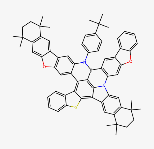 CC(C)(C)c1ccc(N2B3c4cc5c(cc4-n4c6cc7c(cc6c6c8sc9ccccc9c8c(c3c64)-c3cc4oc6cc8c(cc6c4cc32)C(C)(C)CCC8(C)C)C(C)(C)CCC7(C)C)oc2ccccc25)cc1